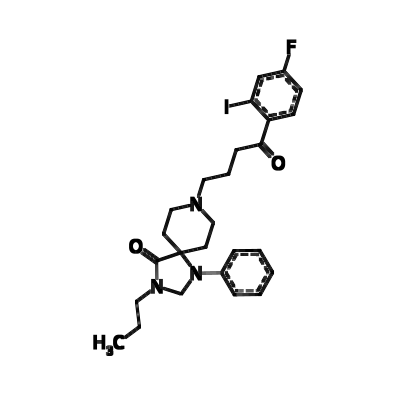 CCCN1CN(c2ccccc2)C2(CCN(CCCC(=O)c3ccc(F)cc3I)CC2)C1=O